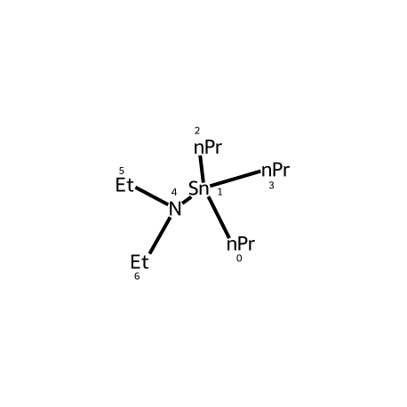 CC[CH2][Sn]([CH2]CC)([CH2]CC)[N](CC)CC